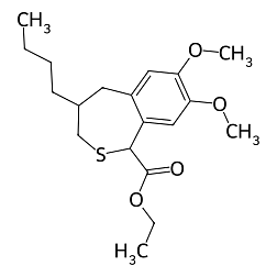 CCCCC1CSC(C(=O)OCC)c2cc(OC)c(OC)cc2C1